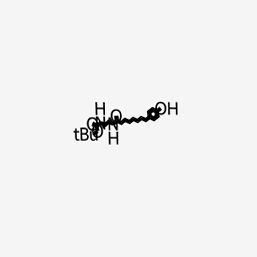 CC(C)(C)OC(=O)NCCNC(=O)CCCCCCCc1ccc(O)cc1